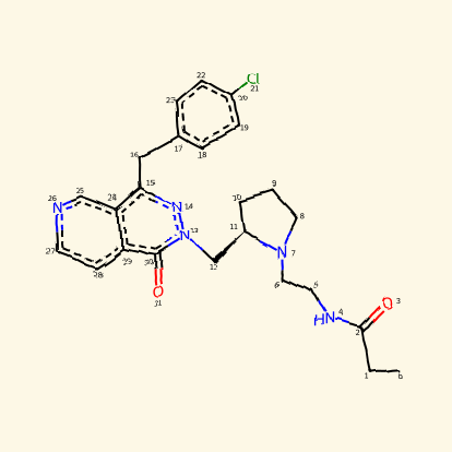 CCC(=O)NCCN1CCC[C@@H]1Cn1nc(Cc2ccc(Cl)cc2)c2cnccc2c1=O